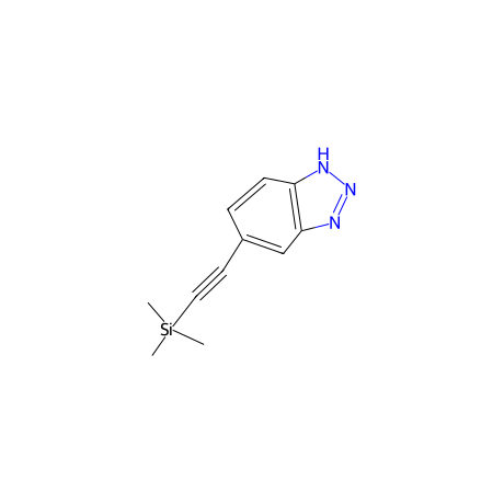 C[Si](C)(C)C#Cc1ccc2[nH]nnc2c1